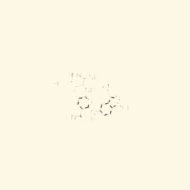 CC(C)CC(Nc1nc(Nc2ccc3c(c2)c(C2CC2)nn3C)c(C(N)=O)cc1F)C(C)N